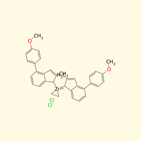 COc1ccc(-c2cccc3c2C=C(C)[CH]3[Zr+2]2([CH]3C(C)=Cc4c(-c5ccc(OC)cc5)cccc43)[CH2][CH2]2)cc1.[Cl-].[Cl-]